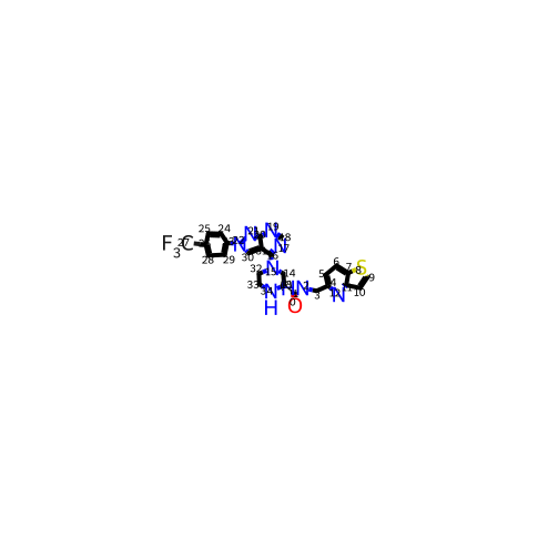 O=C(NCc1ccc2sccc2n1)[C@H]1CN(c2ncnc3nn(-c4ccc(C(F)(F)F)cc4)cc23)CCN1